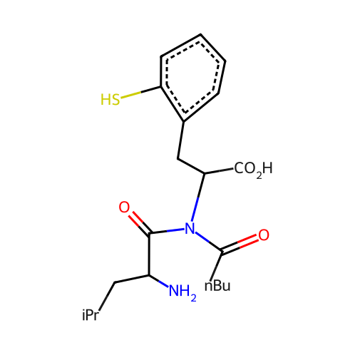 CCCCC(=O)N(C(=O)C(N)CC(C)C)C(Cc1ccccc1S)C(=O)O